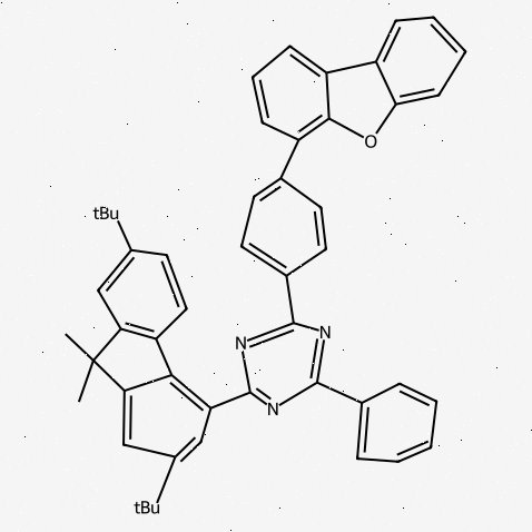 CC(C)(C)c1ccc2c(c1)C(C)(C)c1cc(C(C)(C)C)cc(-c3nc(-c4ccccc4)nc(-c4ccc(-c5cccc6c5oc5ccccc56)cc4)n3)c1-2